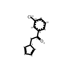 O=C(CC1C=CC=C1)c1cccc(Cl)c1